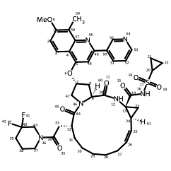 COc1ccc2c(O[C@@H]3C[C@H]4C(=O)N[C@]5(C(=O)NS(=O)(=O)C6CC6)C[C@H]5/C=C\CCCCC[C@H](CC(=O)N5CCCC(F)(F)C5)C(=O)N4C3)cc(-c3cccnc3)nc2c1C